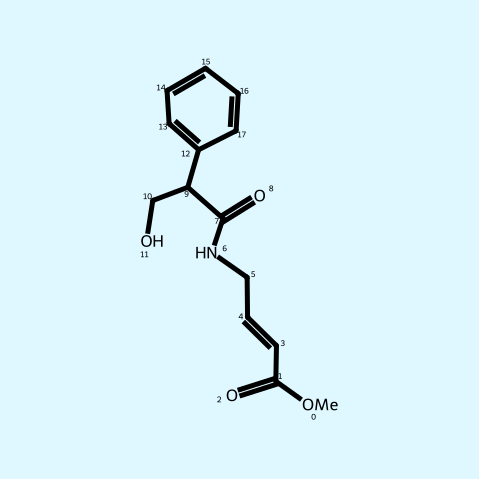 COC(=O)/C=C/CNC(=O)C(CO)c1ccccc1